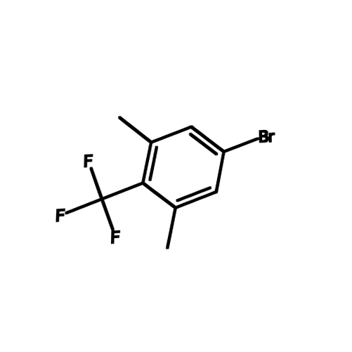 Cc1cc(Br)cc(C)c1C(F)(F)F